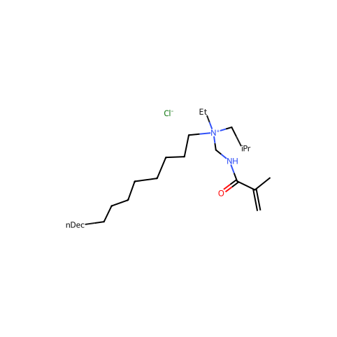 C=C(C)C(=O)NC[N+](CC)(CCCCCCCCCCCCCCCCCC)CC(C)C.[Cl-]